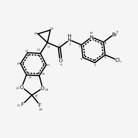 O=C(Nc1ccc(Cl)c(Br)n1)C1(c2ccc3c(c2)OC(F)(F)O3)CC1